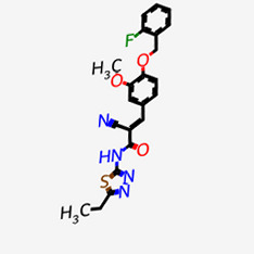 CCc1nnc(NC(=O)/C(C#N)=C/c2ccc(OCc3ccccc3F)c(OC)c2)s1